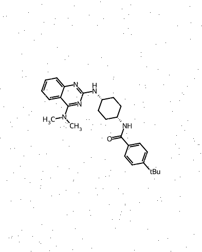 CN(C)c1nc(N[C@H]2CC[C@@H](NC(=O)c3ccc(C(C)(C)C)cc3)CC2)nc2ccccc12